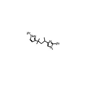 CC(C)c1nc(C(C)CC(C)(C)c2ccn(C(C)C)n2)cn1C